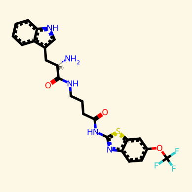 N[C@@H](Cc1c[nH]c2ccccc12)C(=O)NCCCC(=O)Nc1nc2ccc(OC(F)(F)F)cc2s1